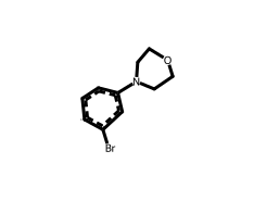 Brc1[c]ccc(N2CCOCC2)c1